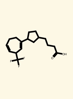 O=C(O)CCCC1CCC(C2=CC(C(F)(F)F)C=CCC2)C1